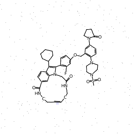 CS(=O)(=O)N1CCN(c2ccc(N3CCCC3=O)cc2COc2ccc(-c3c(C4CCCCC4)c4ccc5cc4n3CC(=O)NCC/C=C\CCNC5=O)c(F)c2)CC1